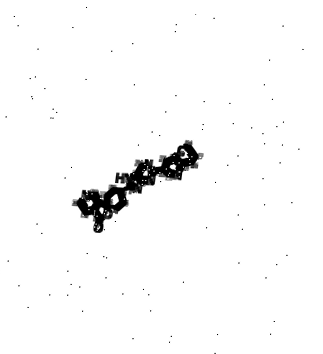 O=C1O[C@]2(CC[C@H](c3nc4nc(-c5cnc6ccccc6c5)ncc4[nH]3)CC2)c2cnccc21